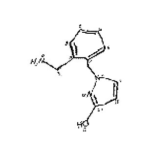 NCc1ccccc1-n1ccc(O)n1